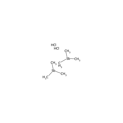 Cl.Cl.[CH3][Sb]([CH3])[CH3].[CH3][Sb]([CH3])[CH3]